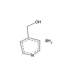 B.OCc1ccncc1